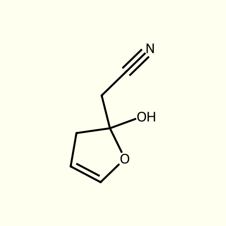 N#CCC1(O)CC=CO1